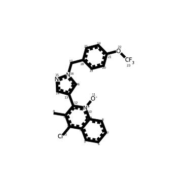 Cc1c(Cl)c2ccccc2[n+]([O-])c1-c1cnn(Cc2ccc(OC(F)(F)F)cc2)c1